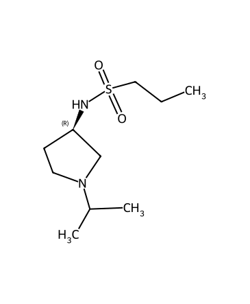 CCCS(=O)(=O)N[C@@H]1CCN(C(C)C)C1